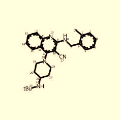 Cc1ccccc1CNc1nc2ccccc2c(N2CCC(NC(C)(C)C)CC2)c1C#N